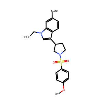 COc1ccc2c(C3CCN(S(=O)(=O)c4ccc(OC(C)C)cc4)C3)cn(CC(=O)O)c2c1